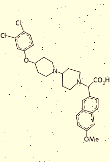 COc1ccc2cc(C(C(=O)O)N3CCC(N4CCC(Oc5ccc(Cl)c(Cl)c5)CC4)CC3)ccc2c1